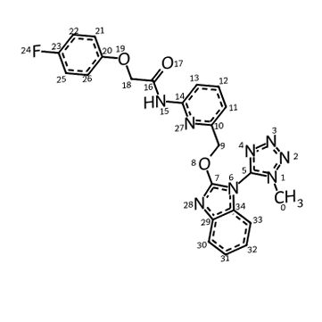 Cn1nnnc1-n1c(OCc2cccc(NC(=O)COc3ccc(F)cc3)n2)nc2ccccc21